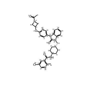 CC(=O)N1CC(Oc2ccc(-n3c(=O)n(C[C@H]4CC[C@H](NC(=O)c5cc(Cl)cnc5C)CC4)c4ccccc43)cn2)C1